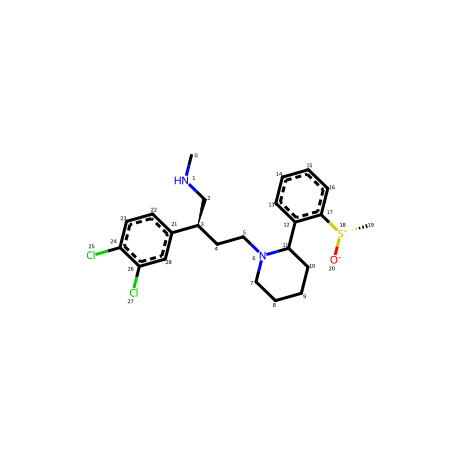 CNC[C@@H](CCN1CCCCC1c1ccccc1[S@+](C)[O-])c1ccc(Cl)c(Cl)c1